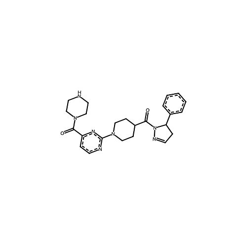 O=C(c1ccnc(N2CCC(C(=O)N3N=CCC3c3ccccc3)CC2)n1)N1CCNCC1